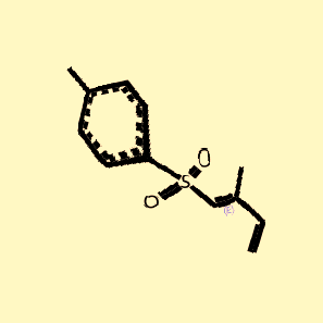 C=C/C(C)=C/S(=O)(=O)c1ccc(C)cc1